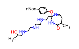 CCCCCCCCCc1ccc(OC2(CCNCCNCCNCC(C)O)CNC(=O)C(C)CC=N2)cc1